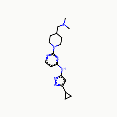 CN(C)CC1CCN(c2nccc(Nc3cc(C4CC4)[nH]n3)n2)CC1